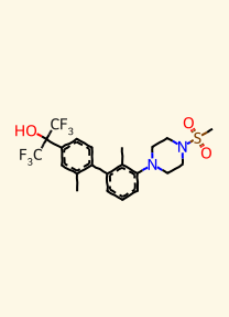 Cc1cc(C(O)(C(F)(F)F)C(F)(F)F)ccc1-c1cccc(N2CCN(S(C)(=O)=O)CC2)c1C